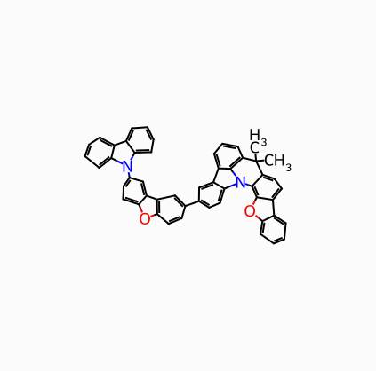 CC1(C)c2ccc3c(oc4ccccc43)c2-n2c3ccc(-c4ccc5oc6ccc(-n7c8ccccc8c8ccccc87)cc6c5c4)cc3c3cccc1c32